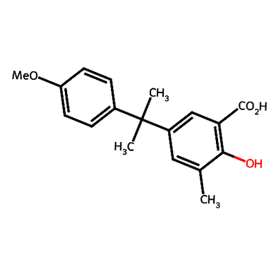 COc1ccc(C(C)(C)c2cc(C)c(O)c(C(=O)O)c2)cc1